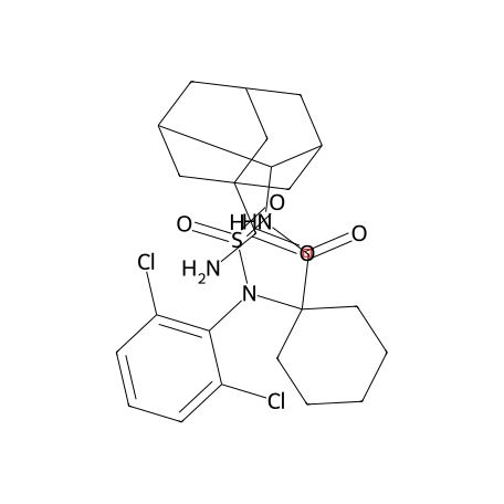 NC(=O)C12CC3CC(C1)C(NC(=O)C1(N(c4c(Cl)cccc4Cl)[SH](=O)=O)CCCCC1)C(C3)C2